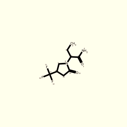 CCC(C(N)=O)N1CC(C(F)(F)F)CC1=O